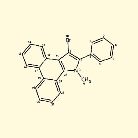 Cn1c(-c2ccccc2)c(Br)c2c3ccccc3c3ccccc3c21